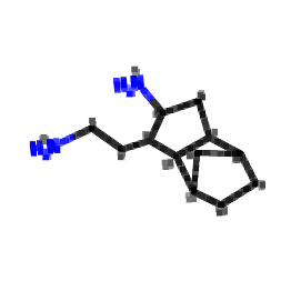 NCCC1C(N)CC2C3CCC(C3)C12